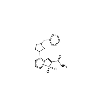 NC(=O)C1=Cc2c([C@@H]3CCN(Cc4ccccc4)C3)cccc2S1(=O)=O